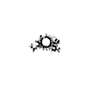 CC[C@@H]1OC(=O)[C@H](C)[C@H](O)[C@H](C)[C@@H](OC2O[C@H](C)C[C@H](N(C)C)[C@H]2O[Si](CC)(CC)CC)[C@](C)(OC)C[C@@H](C)C(=O)[C@H](C)[C@H]2[C@H](/C(N)=N/OC(C)PC)C(=O)O[C@]21C